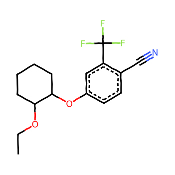 CCOC1CCCCC1Oc1ccc(C#N)c(C(F)(F)F)c1